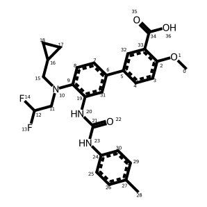 COc1ccc(-c2ccc(N(CC(F)F)CC3CC3)c(NC(=O)Nc3ccc(C)cc3)c2)cc1C(=O)O